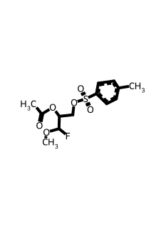 COC(F)C(COS(=O)(=O)c1ccc(C)cc1)OC(C)=O